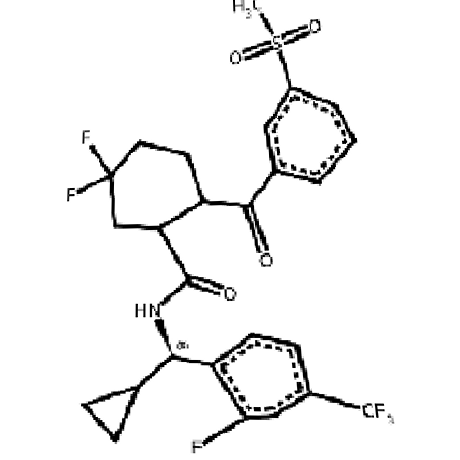 CS(=O)(=O)c1cccc(C(=O)C2CCC(F)(F)CC2C(=O)N[C@@H](c2ccc(C(F)(F)F)cc2F)C2CC2)c1